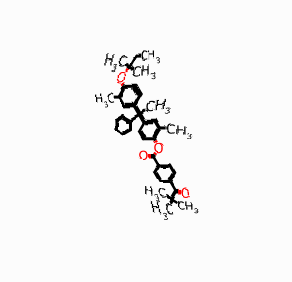 CCC(C)(C)Oc1ccc(C(C)(c2ccccc2)c2ccc(OC(=O)c3ccc(C(=O)C(C)(C)C)cc3)c(C)c2)cc1C